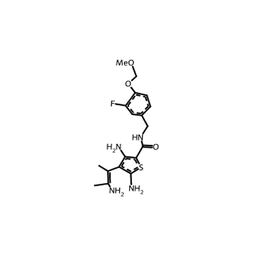 COCOc1ccc(CNC(=O)c2sc(N)c(/C(C)=C(/C)N)c2N)cc1F